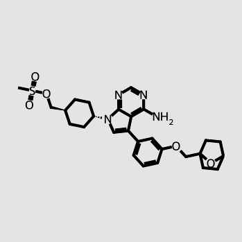 CS(=O)(=O)OC[C@H]1CC[C@H](n2cc(-c3cccc(OCC45CCC(CC4)O5)c3)c3c(N)ncnc32)CC1